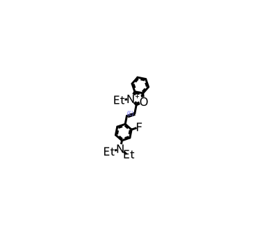 CCN(CC)c1ccc(/C=C/c2oc3ccccc3[n+]2CC)c(F)c1